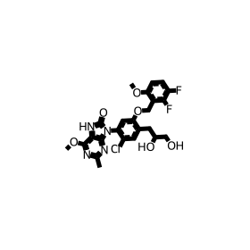 COc1ccc(F)c(F)c1COc1cc(-n2c(=O)[nH]c3c(OC)nc(C)nc32)c(Cl)cc1CC(O)CO